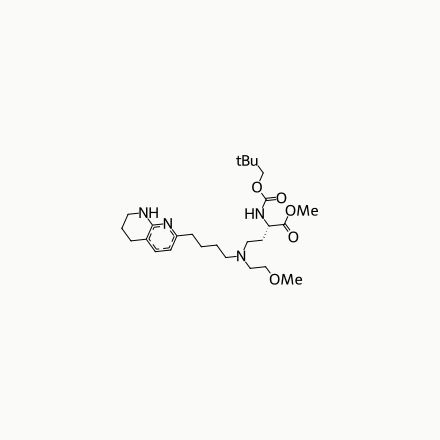 COCCN(CCCCc1ccc2c(n1)NCCC2)CC[C@H](NC(=O)OCC(C)(C)C)C(=O)OC